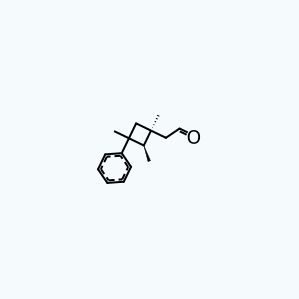 C[C@H]1C(C)(c2ccccc2)C[C@@]1(C)CC=O